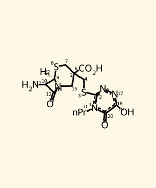 CCCn1c(SCC2(C(=O)O)CS[C@@H]3C(N)C(=O)N3C2)nnc(O)c1=O